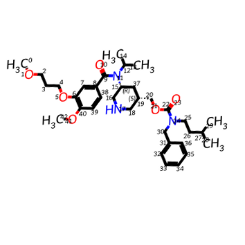 COCCCOc1cc(C(=O)N(C(C)C)[C@H]2CNC[C@@H](COC(=O)N(CCC(C)C)Cc3ccccc3)C2)ccc1OC